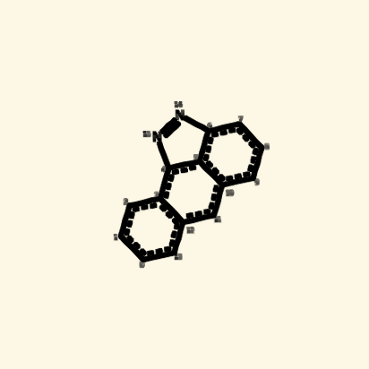 c1ccc2c3c4c(cccc4cc2c1)N=N3